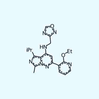 CCOc1ncccc1-c1cc(NCc2ncon2)c2c(C(C)C)nc(C)n2n1